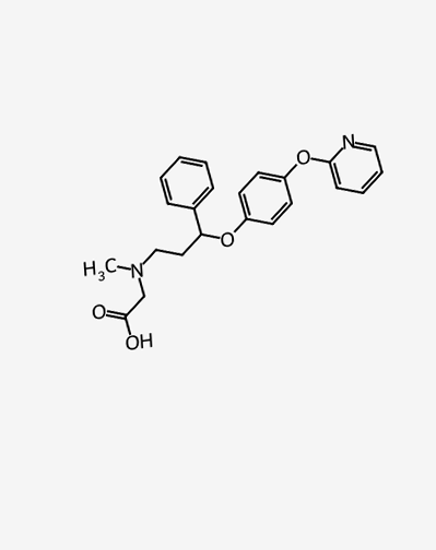 CN(CCC(Oc1ccc(Oc2ccccn2)cc1)c1ccccc1)CC(=O)O